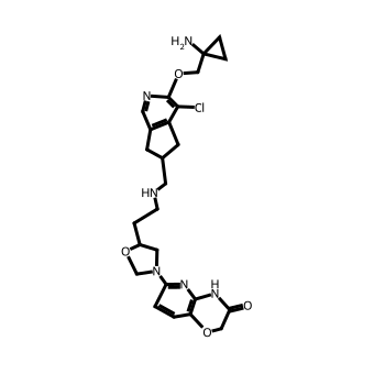 NC1(COc2ncc3c(c2Cl)CC(CNCCC2CN(c4ccc5c(n4)NC(=O)CO5)CO2)C3)CC1